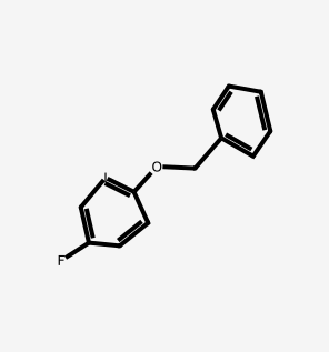 FC1=CI=C(OCc2ccccc2)C=C1